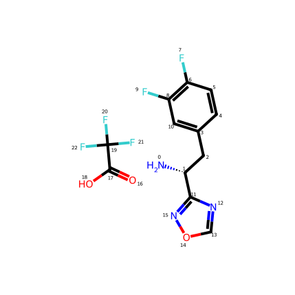 N[C@H](Cc1ccc(F)c(F)c1)c1ncon1.O=C(O)C(F)(F)F